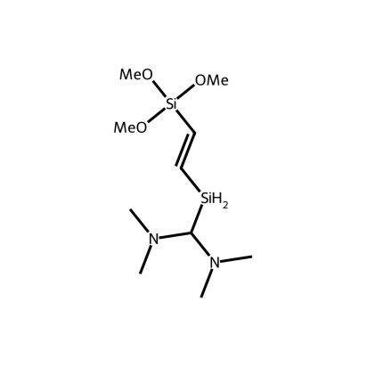 CO[Si](C=C[SiH2]C(N(C)C)N(C)C)(OC)OC